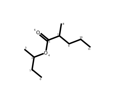 C[CH]C(C)OC(=O)C(C)CCC